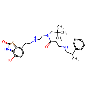 CC(CNCCC(=O)N(CCNCCc1ccc(O)c2[nH]c(=O)sc12)CC(C)(C)C)c1ccccc1